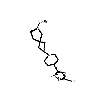 CCOC(=O)N1CCC2(CC(N3CCC(c4nc(N)n[nH]4)CC3)C2)C1